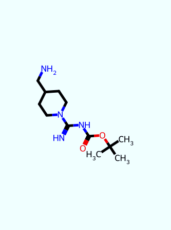 CC(C)(C)OC(=O)NC(=N)N1CCC(CN)CC1